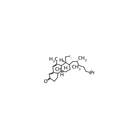 CC1=CC2=CC(=O)CC[C@]2(C)[C@H]2CC[C@]3(C)[C@@H]([C@H](C)CCCC(C)C)CC[C@H]3[C@H]12